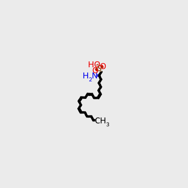 CCCCC/C=C\C/C=C\C/C=C\C/C=C\CCCCC(N)CS(=O)(=O)O